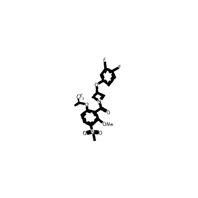 COc1c(S(C)(=O)=O)ccc(O[C@@H](C)C(F)(F)F)c1C(=O)N1CC(Oc2ccc(F)c(F)c2)C1